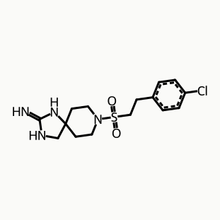 N=C1NCC2(CCN(S(=O)(=O)CCc3ccc(Cl)cc3)CC2)N1